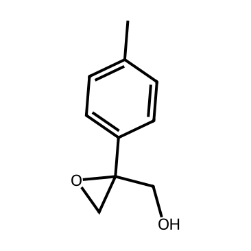 Cc1ccc(C2(CO)CO2)cc1